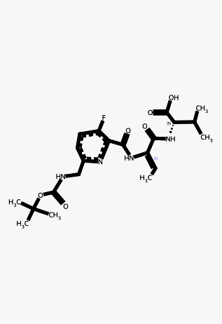 C/C=C(\NC(=O)c1nc(CNC(=O)OC(C)(C)C)ccc1F)C(=O)N[C@H](C(=O)O)C(C)C